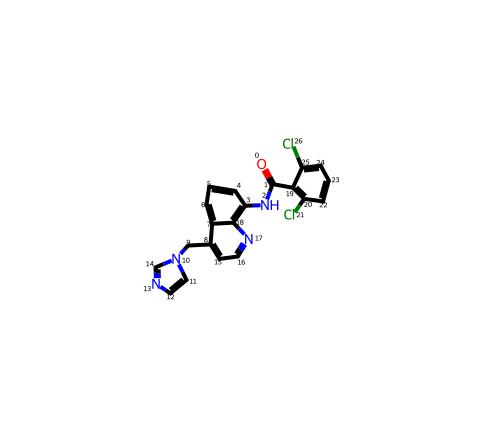 O=C(Nc1cccc2c(Cn3ccnc3)ccnc12)c1c(Cl)cccc1Cl